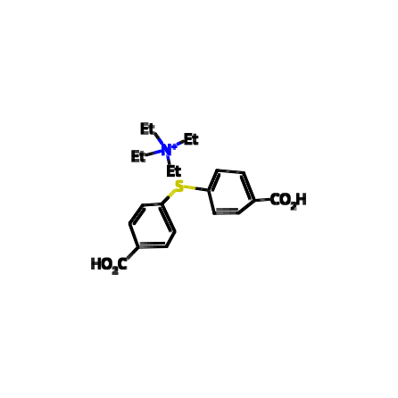 CC[N+](CC)(CC)CC.O=C(O)c1ccc(Sc2ccc(C(=O)O)cc2)cc1